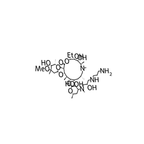 CC[C@H]1OC(=O)[C@H](C)[C@@H](O[C@H]2C[C@@](C)(OC)[C@@H](O)[C@H](C)O2)[C@H](C)[C@@H](O[C@@H]2O[C@H](C)CC(N(C)CC(O)CNCCCN)[C@H]2O)[C@](C)(O)C[C@@H](C)CN(C)[C@H](C)[C@@H](O)[C@]1(C)O